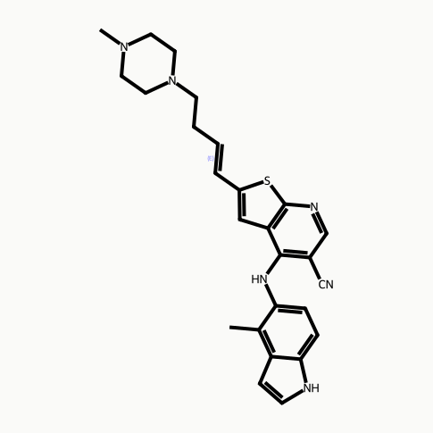 Cc1c(Nc2c(C#N)cnc3sc(/C=C/CCN4CCN(C)CC4)cc23)ccc2[nH]ccc12